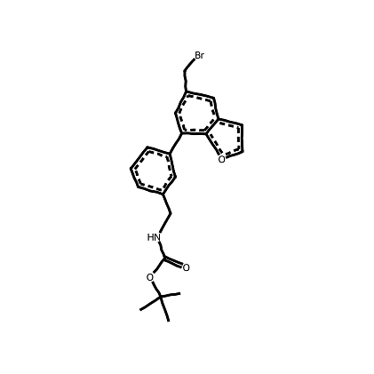 CC(C)(C)OC(=O)NCc1cccc(-c2cc(CBr)cc3ccoc23)c1